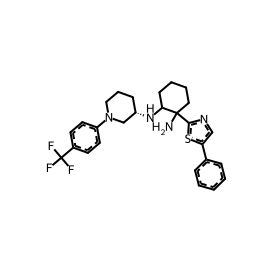 NC1(c2ncc(-c3ccccc3)s2)CCCCC1N[C@H]1CCCN(c2ccc(C(F)(F)F)cc2)C1